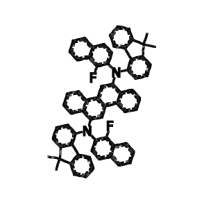 CC1(C)c2ccccc2-c2c(N(c3ccc4ccccc4c3F)c3cc4c5ccccc5c(N(c5cccc6c5-c5ccccc5C6(C)C)c5ccc6ccccc6c5F)cc4c4ccccc34)cccc21